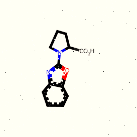 O=C(O)C1CCCN1c1nc2ccccc2o1